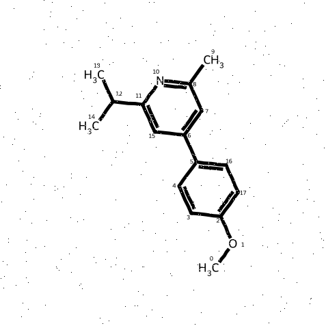 COc1ccc(-c2cc(C)nc(C(C)C)c2)cc1